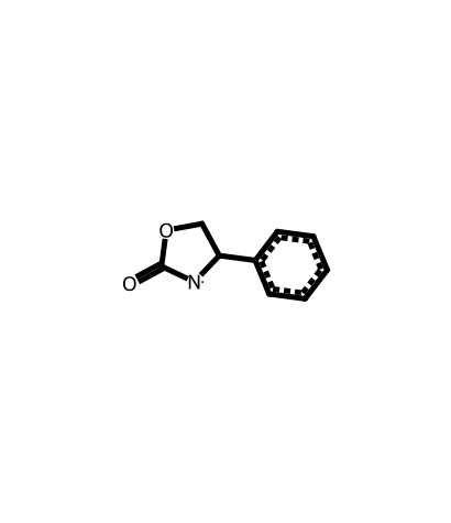 O=C1[N]C(c2ccccc2)CO1